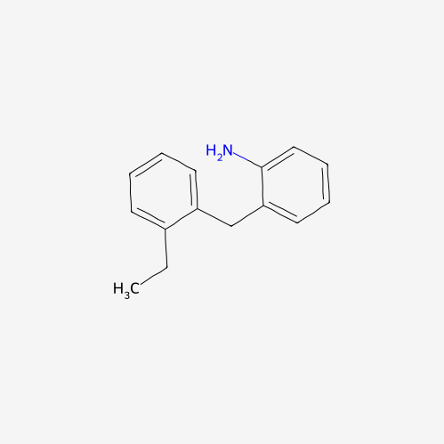 CCc1ccccc1Cc1ccccc1N